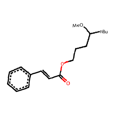 CCCCC(CCCOC(=O)C=Cc1ccccc1)OC